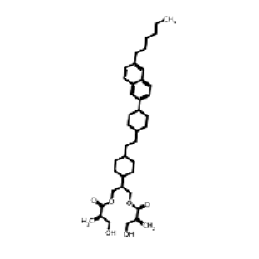 C=C(CO)C(=O)OCC(COC(=O)C(=C)CO)C1CCC(CCC2CCC(c3ccc4cc(CCCCCC)ccc4c3)CC2)CC1